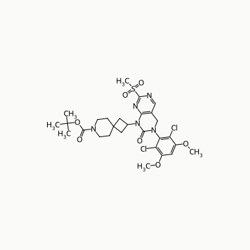 COc1cc(OC)c(Cl)c(N2Cc3cnc(S(C)(=O)=O)nc3N(C3CC4(CCN(C(=O)OC(C)(C)C)CC4)C3)C2=O)c1Cl